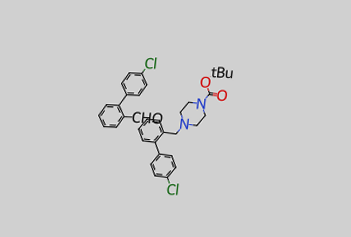 CC(C)(C)OC(=O)N1CCN(Cc2ccccc2-c2ccc(Cl)cc2)CC1.O=Cc1ccccc1-c1ccc(Cl)cc1